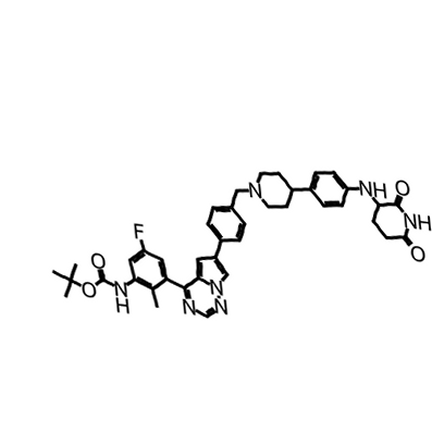 Cc1c(NC(=O)OC(C)(C)C)cc(F)cc1-c1ncnn2cc(-c3ccc(CN4CCC(c5ccc(NC6CCC(=O)NC6=O)cc5)CC4)cc3)cc12